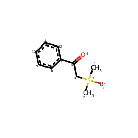 CS(C)(Br)CC(=O)c1ccccc1